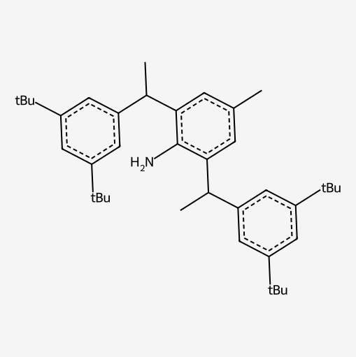 Cc1cc(C(C)c2cc(C(C)(C)C)cc(C(C)(C)C)c2)c(N)c(C(C)c2cc(C(C)(C)C)cc(C(C)(C)C)c2)c1